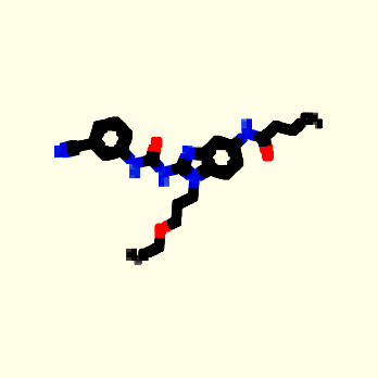 CCCC(=O)Nc1ccc2c(c1)nc(NC(=O)Nc1cccc(C#N)c1)n2CCCOCC